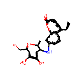 C=Cc1cc(=O)oc2cc(NC3C(C)OC(CO)C(O)C3O)ccc12